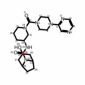 O=C(N1CCN(c2cnccn2)CC1)N1CCC[C@H](NC(=O)N2C3CCC2CC(O)C3)C1